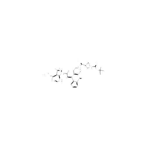 CO/C(=C(/C1=CCN(C(=O)C2CN(C(=O)OC(C)(C)C)C2)CC1)c1ccccc1C=O)C(C)n1nc(C)c2c(N)ncnc21